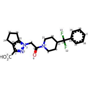 O=C(O)c1nn(CC(=O)N2CCC(C(F)(F)c3ccccc3)CC2)c2c1CCC2